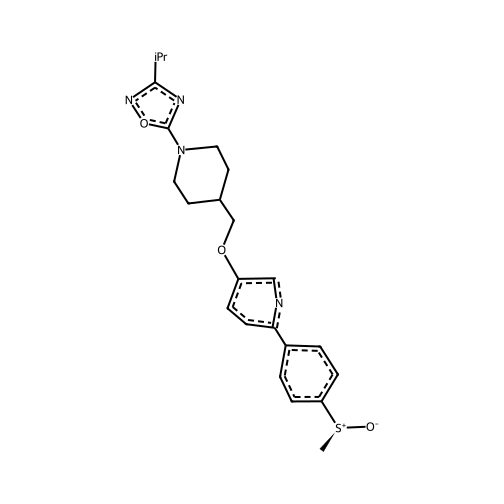 CC(C)c1noc(N2CCC(COc3ccc(-c4ccc([S@+](C)[O-])cc4)nc3)CC2)n1